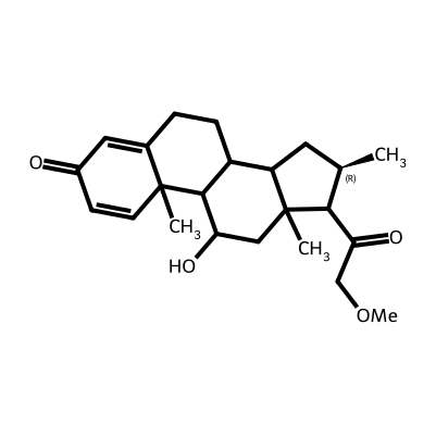 COCC(=O)C1[C@H](C)CC2C3CCC4=CC(=O)C=CC4(C)C3C(O)CC21C